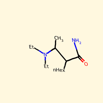 CCCCCCC(C(N)=O)C(C)N(CC)CC